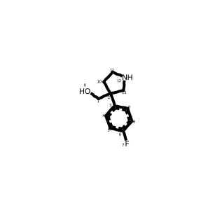 OCC1(c2ccc(F)cc2)CCNC1